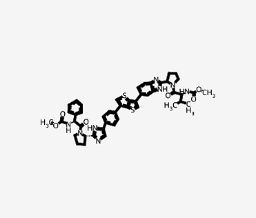 COC(=O)N[C@H](C(=O)N1CCCC1c1nc2ccc(-c3csc4c(-c5ccc(-c6cnc([C@@H]7CCCN7C(=O)[C@H](NC(=O)OC)c7ccccc7)[nH]6)cc5)csc34)cc2[nH]1)C(C)C